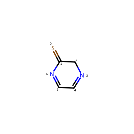 S=C1CN=CC=N1